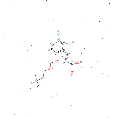 C[Si](C)(C)CCOCOc1ccc(Cl)c(Cl)c1/C=C/[N+](=O)[O-]